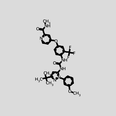 CNC(=O)c1cc(Oc2ccc(NC(=O)Nc3cc(C(C)(C)C)nn3-c3cccc(OC)c3)c(C(F)(F)F)c2)ccn1